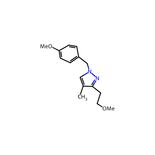 COCCc1nn(Cc2ccc(OC)cc2)cc1C